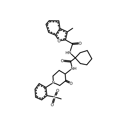 Cc1c(C(=O)NC2(C(=O)NC3CCN(c4ccccc4S(C)(=O)=O)CC3=O)CCCCC2)oc2ccccc12